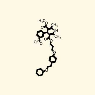 COC(=O)C1=C(C)NC(C)=C(C(=O)OCCCOc2ccc(CCOC3CCCCC3)cc2)C1c1cccc([N+](=O)[O-])c1